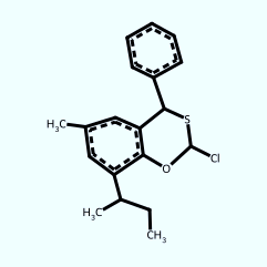 CCC(C)c1cc(C)cc2c1OC(Cl)SC2c1ccccc1